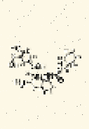 CC(Cc1cccc(NC(=O)NCc2ccccc2)c1)NCC(O)c1ccc(O)c(CO)c1